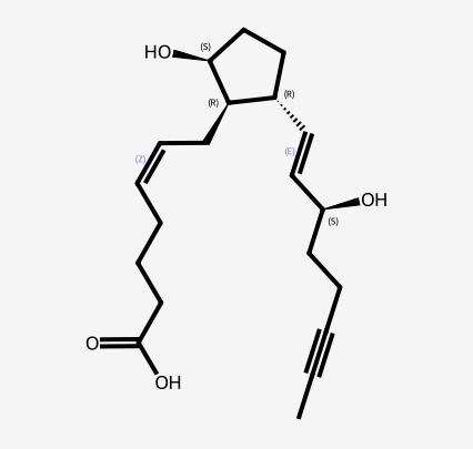 CC#CCC[C@H](O)/C=C/[C@H]1CC[C@H](O)[C@@H]1C/C=C\CCCC(=O)O